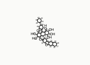 Oc1c(O)c(O)c2c(-c3ccc4oc5cc6ccccc6cc5c4c3)c3c(O)c(O)c(O)c(O)c3c(-c3ccc(-c4ccccc4)cc3)c2c1O